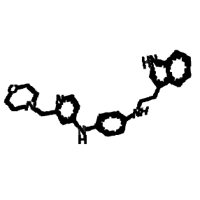 c1ccc2c(CCNc3ccc(Nc4ccnc(CN5CCOCC5)c4)cc3)c[nH]c2c1